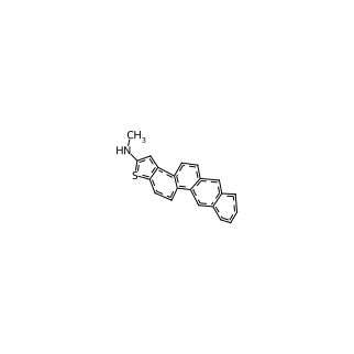 CNc1cc2c(ccc3c4cc5ccccc5cc4ccc23)s1